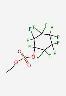 CCOS(=O)(=O)OC1(F)C(F)(F)C(F)(F)C(F)(F)C(F)(F)C1(F)F